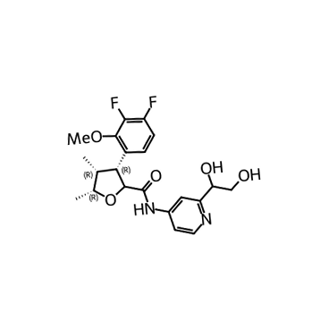 COc1c([C@@H]2C(C(=O)Nc3ccnc(C(O)CO)c3)O[C@H](C)[C@@H]2C)ccc(F)c1F